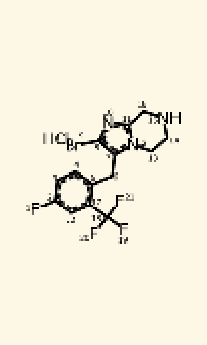 Cl.Fc1ccc(Cc2c(Br)nc3n2CCNC3)c(C(F)(F)F)c1